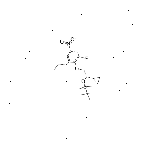 CCCc1cc([N+](=O)[O-])cc(F)c1OC[C@@H](O[Si](C)(C)C(C)(C)C)C1CC1